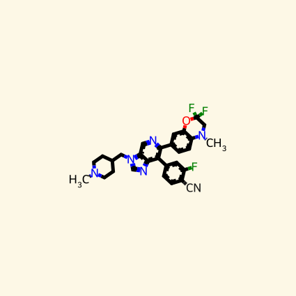 CN1CCC(Cn2cnc3c(-c4ccc(C#N)c(F)c4)c(-c4ccc5c(c4)OC(F)(F)CN5C)ncc32)CC1